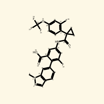 Cn1ncc2ccc(-c3c(F)cc(NC(=O)C4(c5ccc(OC(F)(F)F)cc5F)CC4)cc3C(=O)O)cc21